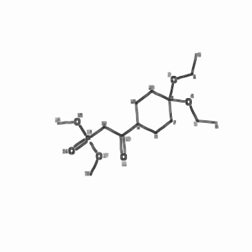 CCOC1(OCC)CCC(C(=O)CP(=O)(OC)OC)CC1